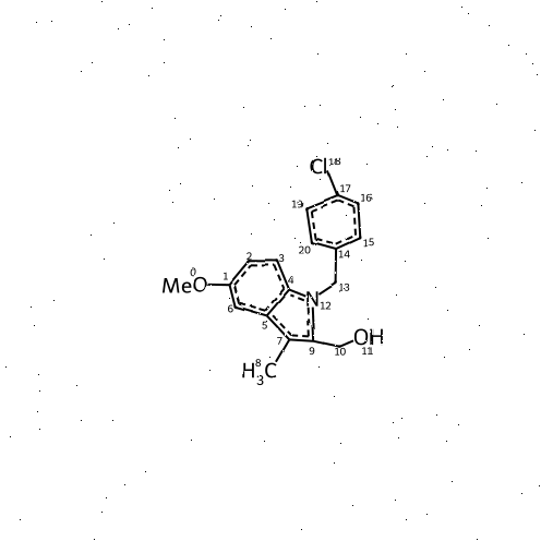 COc1ccc2c(c1)c(C)c(CO)n2Cc1ccc(Cl)cc1